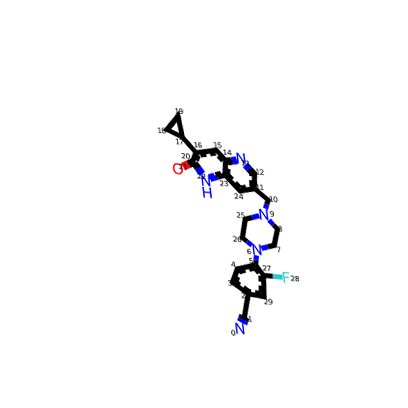 N#Cc1ccc(N2CCN(Cc3cnc4cc(C5CC5)c(=O)[nH]c4c3)CC2)c(F)c1